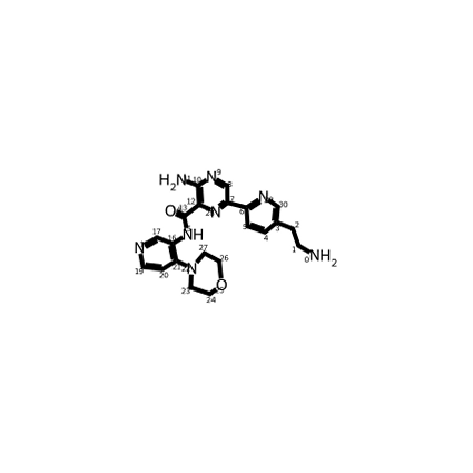 NCCc1ccc(-c2cnc(N)c(C(=O)Nc3cnccc3N3CCOCC3)n2)nc1